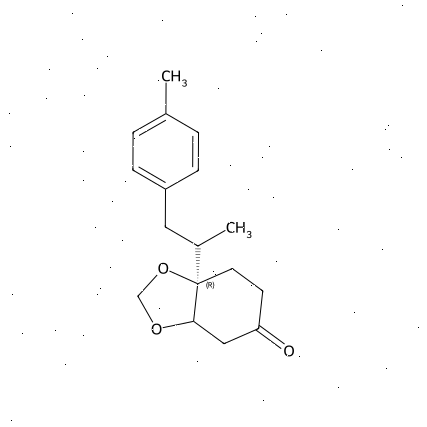 Cc1ccc(CC(C)[C@]23CCC(=O)CC2OCO3)cc1